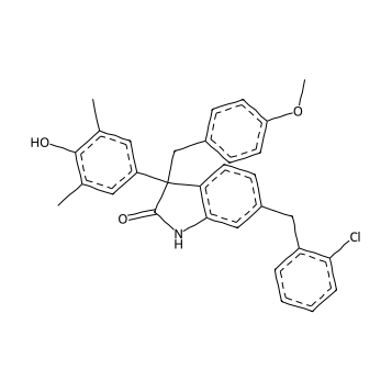 COc1ccc(CC2(c3cc(C)c(O)c(C)c3)C(=O)Nc3cc(Cc4ccccc4Cl)ccc32)cc1